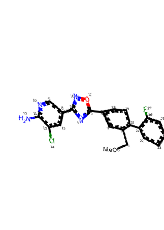 COCc1cc(-c2nc(-c3cnc(N)c(Cl)c3)no2)ccc1-c1ccccc1F